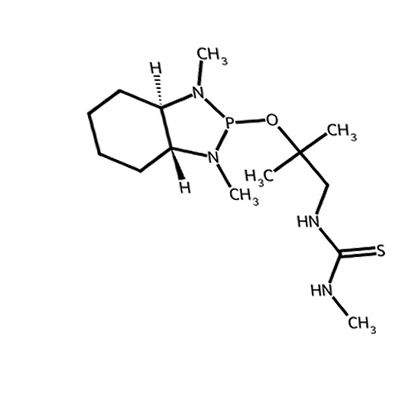 CNC(=S)NCC(C)(C)OP1N(C)[C@@H]2CCCC[C@H]2N1C